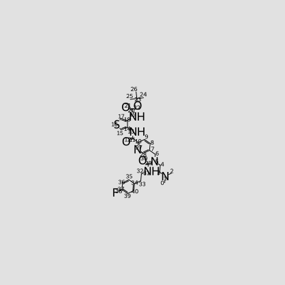 CN(C)CCN(Cc1ccc(C(=O)Nc2cscc2NC(=O)OC(C)(C)C)nc1)C(=O)NCCc1ccc(F)cc1